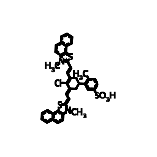 Cc1ccc(S(=O)(=O)O)cc1C1CC(/C=C/c2sc3c4ccccc4ccc3[n+]2C)=C(Cl)C(=C/C=C2\Sc3c(ccc4ccccc34)N2C)/C1